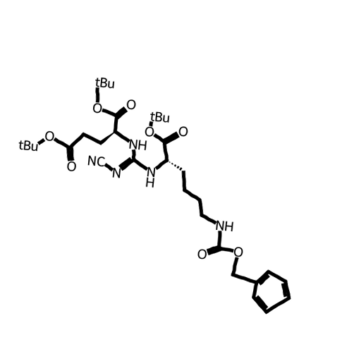 CC(C)(C)OC(=O)CC[C@H](N/C(=N\C#N)N[C@@H](CCCCNC(=O)OCc1ccccc1)C(=O)OC(C)(C)C)C(=O)OC(C)(C)C